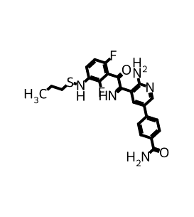 CCCSNc1ccc(F)c(C(=O)C(=N)c2cc(-c3ccc(C(N)=O)cc3)cnc2N)c1F